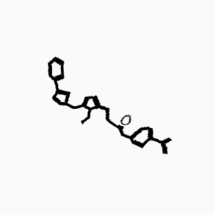 CCC1C(CCC(=O)Cc2ccc(C(C)C)cc2)=CC=C1CC1C=CC(c2ccccc2)=C1